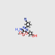 COC(=O)c1c(N)nc(-c2cccc(C#N)c2)nc1OC1CCC(O)C1